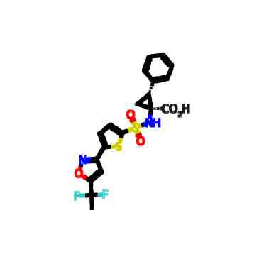 CC(F)(F)c1cc(-c2ccc(S(=O)(=O)N[C@@]3(C(=O)O)C[C@@H]3c3ccccc3)s2)no1